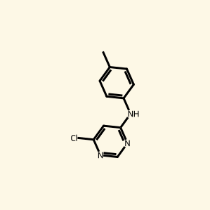 Cc1ccc(Nc2cc(Cl)ncn2)cc1